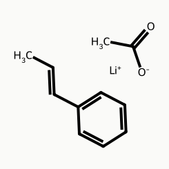 CC(=O)[O-].CC=Cc1ccccc1.[Li+]